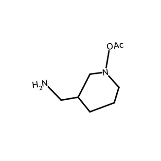 CC(=O)ON1CCCC(CN)C1